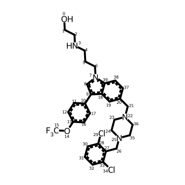 OCCNCCCn1cc(-c2ccc(OC(F)(F)F)cc2)c2cc(CN3CCN(Cc4c(Cl)cccc4Cl)CC3)ccc21